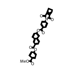 COC(=O)c1ccc(OC(=O)c2ccc3cc(OC(=O)c4ccc(N5C(=O)C6C7CCC(C7)C6C5=O)cc4)ccc3c2)cc1